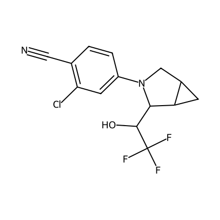 N#Cc1ccc(N2CC3CC3C2C(O)C(F)(F)F)cc1Cl